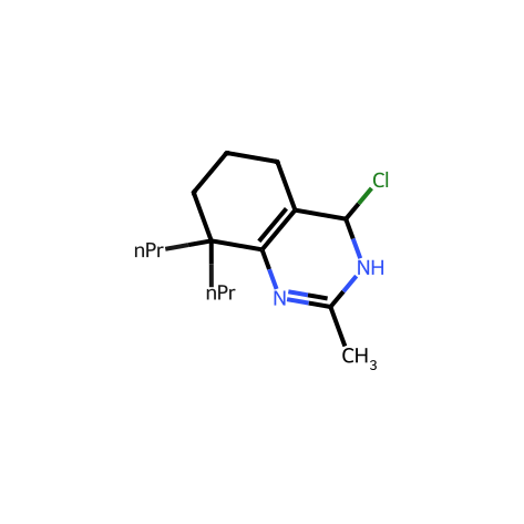 CCCC1(CCC)CCCC2=C1N=C(C)NC2Cl